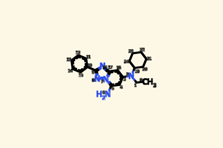 CCN(c1cc(N)n2nc(-c3ccccc3)nc2c1)C1CCCCC1